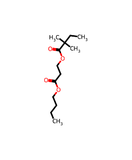 CCCCOC(=O)CCOC(=O)C(C)(C)CC